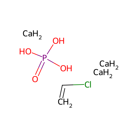 C=CCl.O=P(O)(O)O.[CaH2].[CaH2].[CaH2]